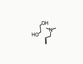 C=CCN(C)C.OCCO